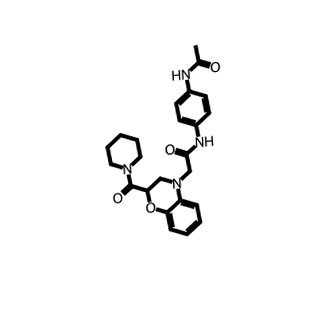 CC(=O)Nc1ccc(NC(=O)CN2CC(C(=O)N3CCCCC3)Oc3ccccc32)cc1